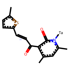 Cc1ccc(/C=C/C(=O)c2c(C)cc(C)[n]([Ta])c2=O)s1